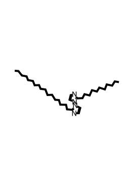 CCCCCCCCCCCCCCCCCc1nccn1-n1ccnc1CCCCCCCCCCC